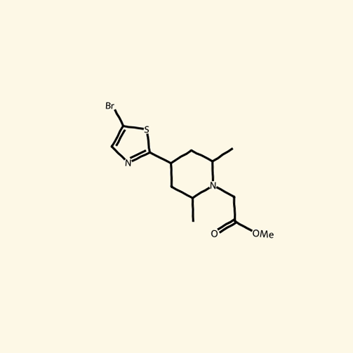 COC(=O)CN1C(C)CC(c2ncc(Br)s2)CC1C